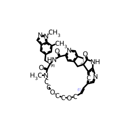 Cc1cc(C[C@H]2NC(=O)c3cc4c(cn3)C[C@]3(C4)C(=O)Nc4ncc(cc43)/C=C/COCCOCCN(C)C2=O)cc2cnn(C)c12